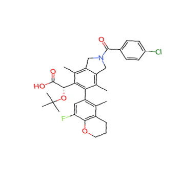 Cc1c(-c2c(C)c3c(c(C)c2[C@H](OC(C)(C)C)C(=O)O)CN(C(=O)c2ccc(Cl)cc2)C3)cc(F)c2c1CCCO2